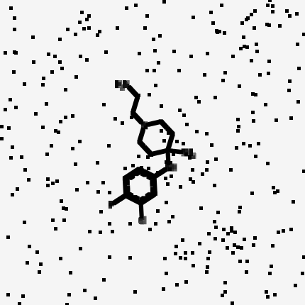 NCCN1CCC(N)(Nc2ccc(F)c(Cl)c2)CC1